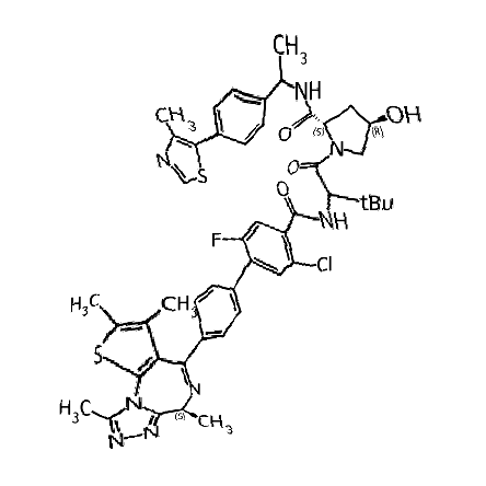 Cc1ncsc1-c1ccc(C(C)NC(=O)[C@@H]2C[C@@H](O)CN2C(=O)C(NC(=O)c2cc(F)c(-c3ccc(C4=N[C@@H](C)c5nnc(C)n5-c5sc(C)c(C)c54)cc3)cc2Cl)C(C)(C)C)cc1